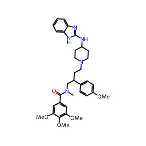 COc1ccc(C(CCN2CCC(Nc3nc4ccccc4[nH]3)CC2)CN(C)C(=O)c2cc(OC)c(OC)c(OC)c2)cc1